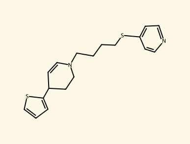 C1=CN(CCCCSc2ccncc2)CCC1c1cccs1